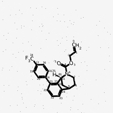 C=CCOC(=O)N1CCC2C[C@@H]1c1c(-c3ccc(C(F)(F)F)cc3)cccc12